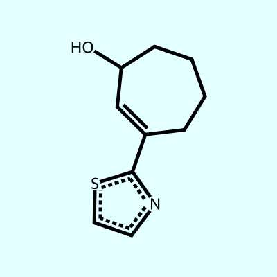 OC1C=C(c2nccs2)CCCC1